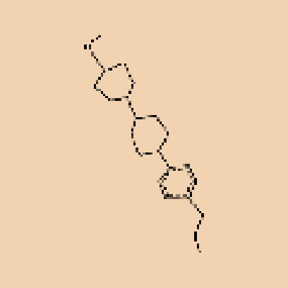 CCCc1ccc(C2CCC(C3CCC(OC)CC3)OC2)cc1